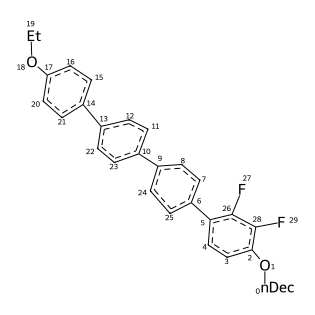 CCCCCCCCCCOc1ccc(-c2ccc(-c3ccc(-c4ccc(OCC)cc4)cc3)cc2)c(F)c1F